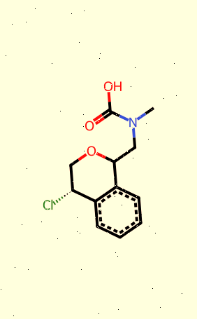 CN(CC1OC[C@@H](Cl)c2ccccc21)C(=O)O